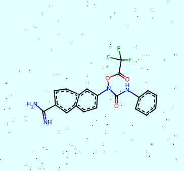 N=C(N)c1ccc2cc(N(OC(=O)C(F)(F)F)C(=O)Nc3ccccc3)ccc2c1